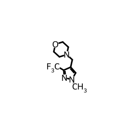 Cn1cc(CN2CCOCC2)c(C(F)(F)F)n1